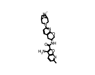 Cc1ccc2c(N)c(C(=O)N[C@H]3COc4nc(N5CC6C[C@H](C)C(C5)N6)ccc4C3)oc2n1